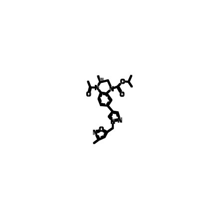 CC(=O)N1c2ccc(-c3cnn(Cc4cc(C)no4)c3)cc2N(C(=O)OC(C)C)C[C@@H]1C